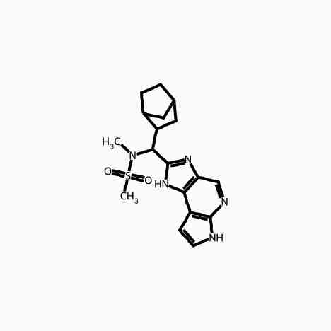 CN(C(c1nc2cnc3[nH]ccc3c2[nH]1)C1CC2CCC1C2)S(C)(=O)=O